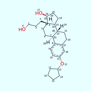 OCCC[C@]12CC[C@@H]3c4ccc(OC5CCCC5)cc4CC[C@H]3[C@@H]1CC[C@@H]2O